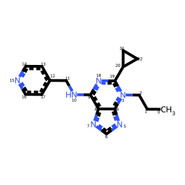 CCCn1c2ncnc-2c(NCc2ccncc2)nc1C1CC1